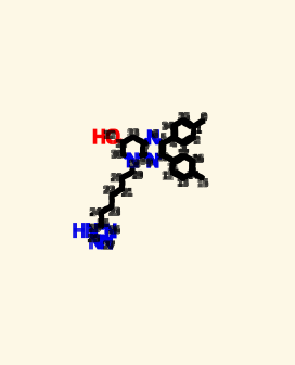 Cc1ccc(-c2nc3c(nc2-c2ccc(C)cc2)N(CCCCCCc2nnn[nH]2)C[C@@H](O)C3)cc1